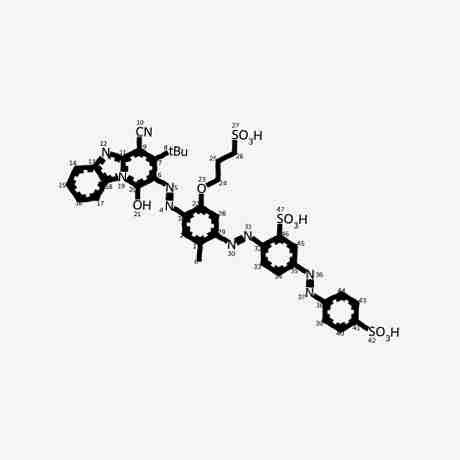 Cc1cc(N=Nc2c(C(C)(C)C)c(C#N)c3nc4ccccc4n3c2O)c(OCCCS(=O)(=O)O)cc1N=Nc1ccc(N=Nc2ccc(S(=O)(=O)O)cc2)cc1S(=O)(=O)O